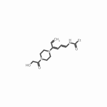 C=C/C(=C\C=C\NC(=O)CC)N1CCN(C(=O)CO)CC1